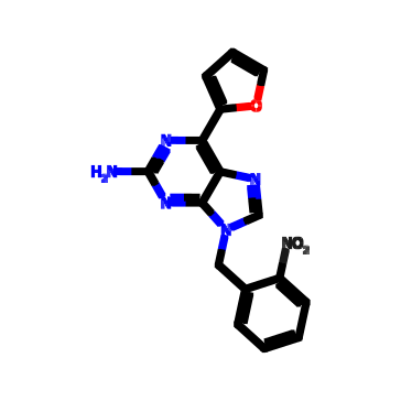 Nc1nc(-c2ccco2)c2ncn(Cc3ccccc3[N+](=O)[O-])c2n1